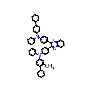 Cc1cc(N(c2ccccc2)c2ccc(-c3nc4ccccc4nc3-c3ccc(N(c4ccccc4)c4ccc(-c5ccccc5)cc4)cc3)cc2)ccc1-c1ccccc1